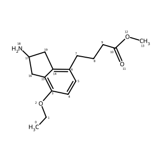 CCOc1ccc(CCCC(=O)OC)c2c1CC(N)C2